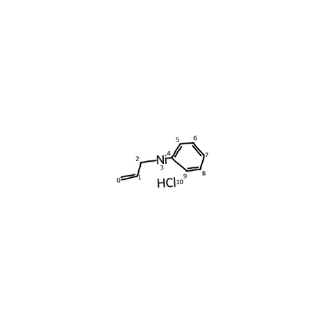 C=C[CH2][Ni][c]1ccccc1.Cl